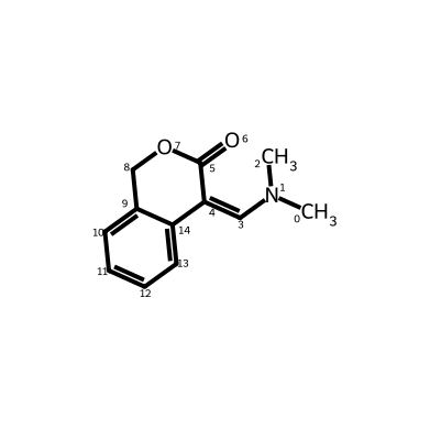 CN(C)C=C1C(=O)OCc2ccccc21